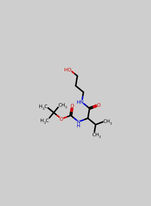 CC(C)C(NC(=O)OC(C)(C)C)C(=O)NCCCO